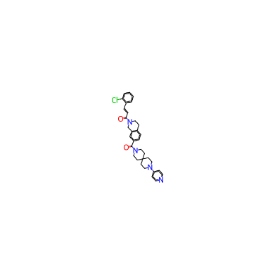 O=C(C=Cc1ccccc1Cl)N1CCc2ccc(C(=O)N3CCC4(CC3)CCN(c3ccncc3)CC4)cc2C1